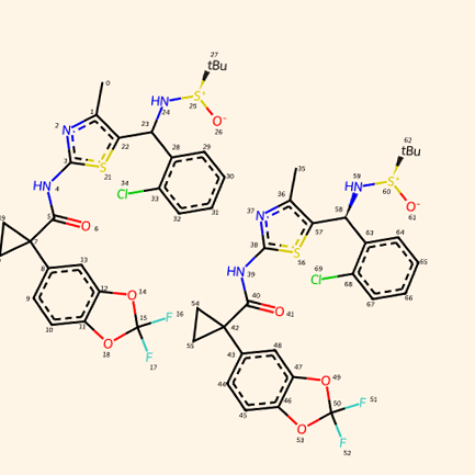 Cc1nc(NC(=O)C2(c3ccc4c(c3)OC(F)(F)O4)CC2)sc1C(N[S@+]([O-])C(C)(C)C)c1ccccc1Cl.Cc1nc(NC(=O)C2(c3ccc4c(c3)OC(F)(F)O4)CC2)sc1[C@@H](N[S@+]([O-])C(C)(C)C)c1ccccc1Cl